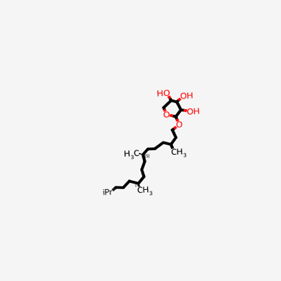 CC(C)CCC[C@H](C)CCC[C@H](C)CCCC(C)CCOC1OCC(O)C(O)C1O